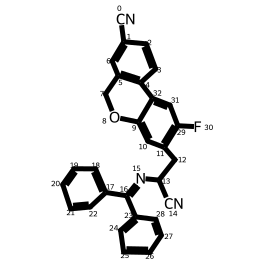 N#Cc1ccc2c(c1)COc1cc(CC(C#N)N=C(c3ccccc3)c3ccccc3)c(F)cc1-2